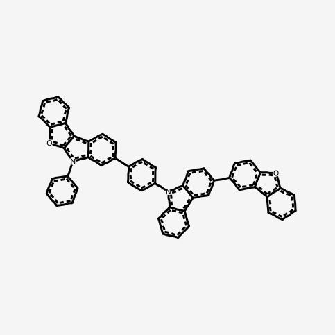 c1ccc(-n2c3cc(-c4ccc(-n5c6ccccc6c6cc(-c7ccc8oc9ccccc9c8c7)ccc65)cc4)ccc3c3c4ccccc4oc32)cc1